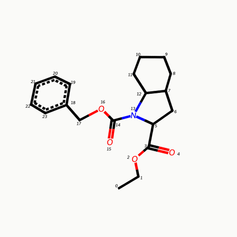 CCOC(=O)C1CC2CCCCC2N1C(=O)OCc1ccccc1